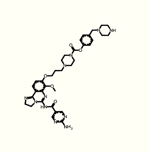 COc1c(OCCCN2CCN(C(=O)Oc3ccc(CN4CCNCC4)cc3)CC2)ccc2c1N=C(NC(=O)c1cnc(N)nc1)N1CCN=C21